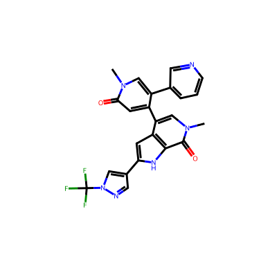 Cn1cc(-c2cccnc2)c(-c2cn(C)c(=O)c3[nH]c(-c4cnn(C(F)(F)F)c4)cc23)cc1=O